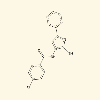 O=C(Nn1cc(-c2ccccc2)nc1S)c1ccc(Cl)cc1